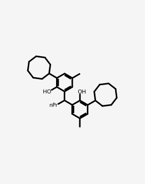 CCCC(c1cc(C)cc(C2CCCCCCC2)c1O)c1cc(C)cc(C2CCCCCCC2)c1O